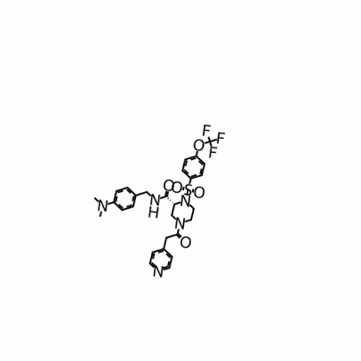 CN(C)c1ccc(CNC(=O)[C@H]2CN(C(=O)Cc3ccncc3)CCN2S(=O)(=O)c2ccc(OC(F)(F)F)cc2)cc1